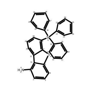 Nc1cccc2sc3c([Si](c4ccccc4)(c4ccccc4)c4ccccc4)cccc3c12